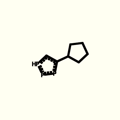 c1[pH]ppc1C1CCCC1